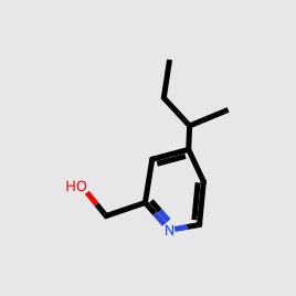 CCC(C)c1ccnc(CO)c1